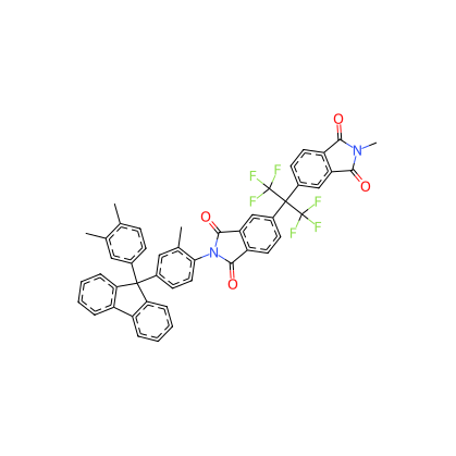 Cc1ccc(C2(c3ccc(N4C(=O)c5ccc(C(c6ccc7c(c6)C(=O)N(C)C7=O)(C(F)(F)F)C(F)(F)F)cc5C4=O)c(C)c3)c3ccccc3-c3ccccc32)cc1C